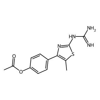 CC(=O)Oc1ccc(-c2nc(NC(=N)N)sc2C)cc1